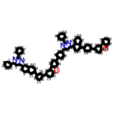 c1ccc(-c2cc(-c3ccc4cc(-c5cccc(-c6ccc7oc8cc(-c9ccc(-c%10cc(-c%11ccc(-c%12ccc(-c%13ccc%14oc%15ccccc%15c%14c%13)cc%12)c%12ccccc%11%12)nc(-c%11ccccc%11)n%10)cc9)ccc8c7c6)c5)ccc4c3)nc(-c3ccccc3)n2)cc1